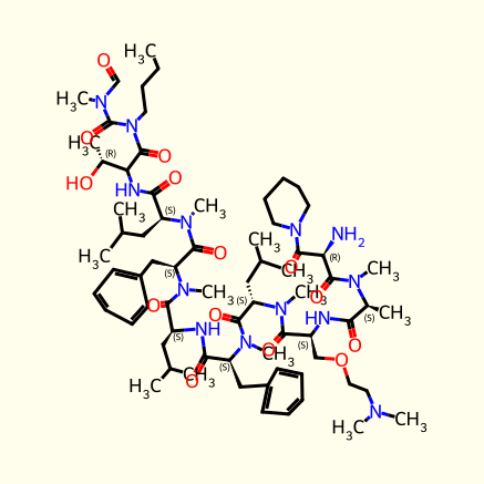 CCCCN(C(=O)C(NC(=O)[C@H](CC(C)C)N(C)C(=O)[C@H](Cc1ccccc1)N(C)C(=O)[C@H](CC(C)C)NC(=O)[C@H](Cc1ccccc1)N(C)C(=O)[C@H](CC(C)C)N(C)C(=O)[C@H](COCCN(C)C)NC(=O)[C@H](C)N(C)C(=O)[C@H](N)C(=O)N1CCCCC1)[C@@H](C)O)C(=O)N(C)C=O